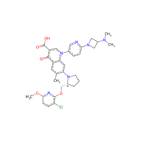 COc1ccc(Cl)c(OC[C@H]2CCCN2c2cc3c(cc2C)c(=O)c(C(=O)O)cn3-c2ccc(N3CC(N(C)C)C3)nc2)n1